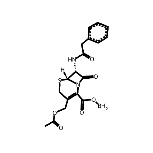 BOC(=O)C1=C(COC(C)=O)CS[C@@H]2[C@H](NC(=O)Cc3ccccc3)C(=O)N12